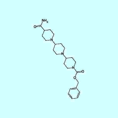 NC(=O)C1CCN(C2CCN(C3CCN(C(=O)OCc4ccccc4)CC3)CC2)CC1